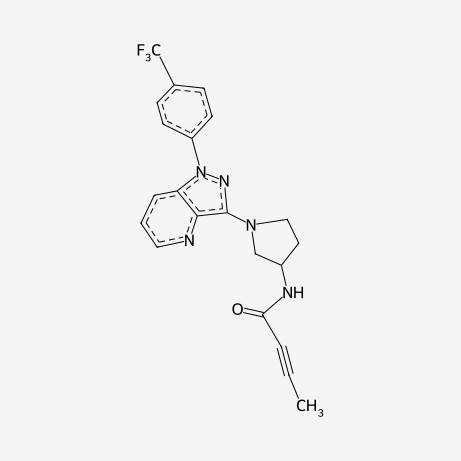 CC#CC(=O)NC1CCN(c2nn(-c3ccc(C(F)(F)F)cc3)c3cccnc23)C1